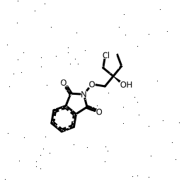 CC[C@@](O)(CCl)CON1C(=O)c2ccccc2C1=O